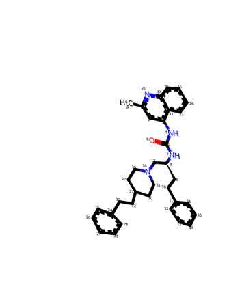 Cc1cc(NC(=O)N[C@@H](CCc2ccccc2)CN2CCC(CCc3ccccc3)CC2)c2ccccc2n1